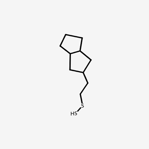 SSCCC1CC2CCCC2C1